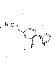 CCCc1ccc(-n2cccn2)c(F)c1